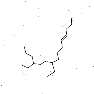 [CH2]CC/C=C/CCCC(CC)CCC(CC)CC[CH2]